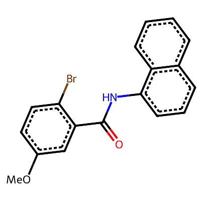 COc1ccc(Br)c(C(=O)Nc2cccc3ccccc23)c1